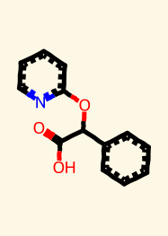 O=C(O)C(Oc1ccccn1)c1ccccc1